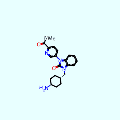 CNC(=O)c1ccc(-n2c(=O)n(C[C@H]3CC[C@H](N)CC3)c3ccccc32)cn1